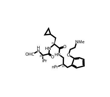 CCC[C@@H](CNC(=O)[C@H](CC1CC1)NC(=O)[C@H](NC=O)C(C)C)Cc1ccccc1OCCNC